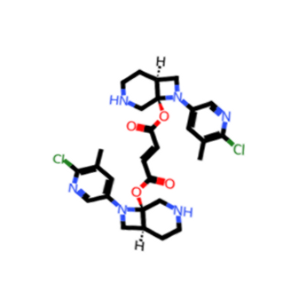 Cc1cc(N2C[C@@H]3CCNC[C@]32OC(=O)/C=C/C(=O)O[C@@]23CNCC[C@H]2CN3c2cnc(Cl)c(C)c2)cnc1Cl